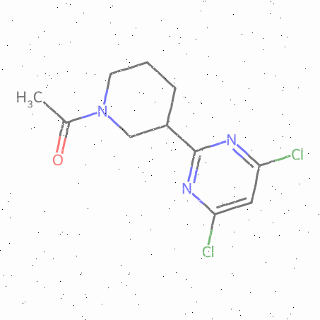 CC(=O)N1CCCC(c2nc(Cl)cc(Cl)n2)C1